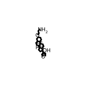 C[C@]12CC[C@H](OCCN)CC1=CC[C@@H]1[C@@H]2CC[C@@]2(C)[C@H]1CC[C@@]2(O)c1ccoc1